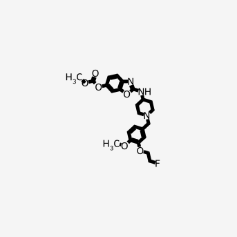 COC(=O)Oc1ccc2nc(NC3CCN(Cc4ccc(OC)c(OCCF)c4)CC3)oc2c1